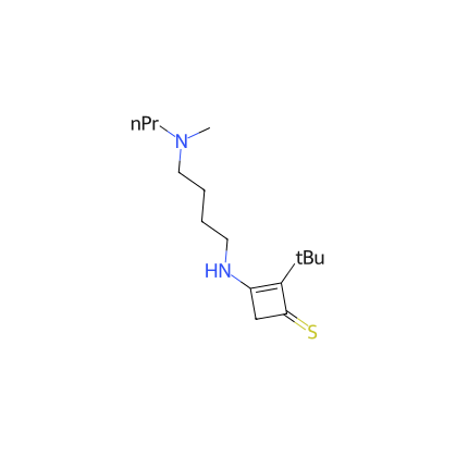 CCCN(C)CCCCNC1=C(C(C)(C)C)C(=S)C1